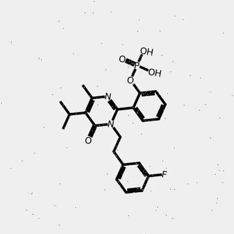 Cc1nc(-c2ccccc2OP(=O)(O)O)n(CCc2cccc(F)c2)c(=O)c1C(C)C